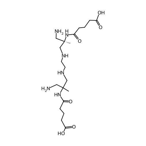 CC(CN)(CNCCNC[C@@](C)(CN)NC(=O)CCCC(=O)O)NC(=O)CCCC(=O)O